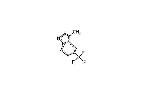 Cc1cnn2ccc(C(F)(F)F)nc12